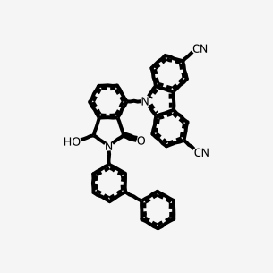 N#Cc1ccc2c(c1)c1cc(C#N)ccc1n2-c1cccc2c1C(=O)N(c1cccc(-c3ccccc3)c1)C2O